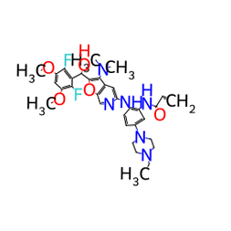 C=CC(=O)Nc1cc(N2CCN(CC)CC2)ccc1Nc1cc2c(N(C)C)c(C(O)c3c(F)c(OC)cc(OC)c3F)oc2cn1